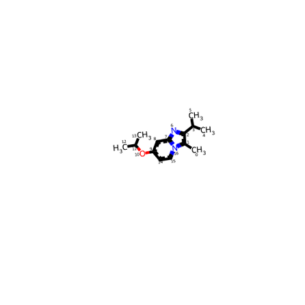 Cc1c(C(C)C)nc2cc(OC(C)C)ccn12